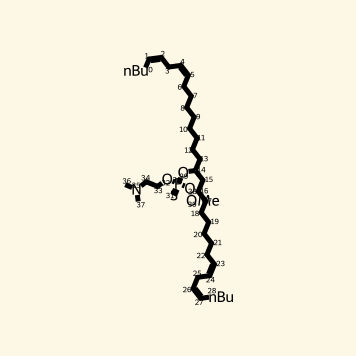 CCCC/C=C\C/C=C\CCCCCCCCC(CCCCCCCC/C=C\C/C=C\CCCC)OP(=S)(OCCN(C)C)OOC